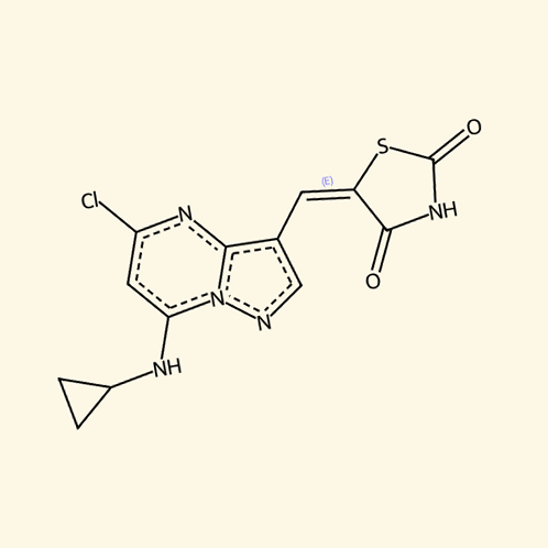 O=C1NC(=O)/C(=C\c2cnn3c(NC4CC4)cc(Cl)nc23)S1